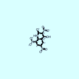 O=c1[nH]c2c([N+](=O)[O-])cc([N+](=O)[O-])cc2c(O)c1[N+](=O)[O-]